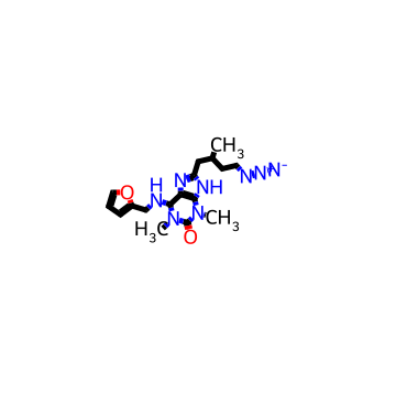 CC(CCN=[N+]=[N-])Cc1nc2c([nH]1)N(C)C(=O)N(C)C2NCc1ccco1